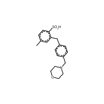 Cc1ccc(S(=O)(=O)O)c(Cc2ccc(CN3CCOCC3)cc2)c1